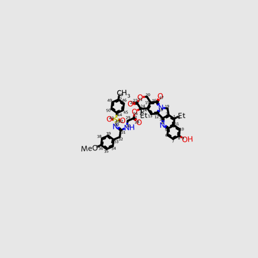 CCc1c2c(nc3ccc(O)cc13)-c1cc3c(c(=O)n1C2)COC(=O)[C@@]3(CC)OC(=O)CNC(Cc1ccc(OC)cc1)=NS(=O)(=O)c1ccc(C)cc1